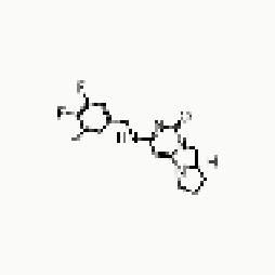 O=c1nc(NCc2cc(F)c(F)c(F)c2)cc2n1C[C@H]1CCCN21